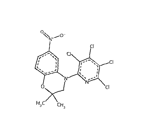 CC1(C)CN(c2nc(Cl)c(Cl)c(Cl)c2Cl)c2cc([N+](=O)[O-])ccc2O1